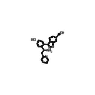 C#Cc1ccc2c(-c3ccccc3C(N)Cc3ccccn3)noc2c1.Cl